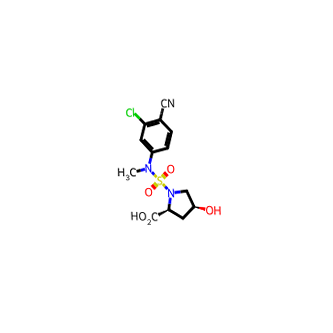 CN(c1ccc(C#N)c(Cl)c1)S(=O)(=O)N1C[C@@H](O)C[C@H]1C(=O)O